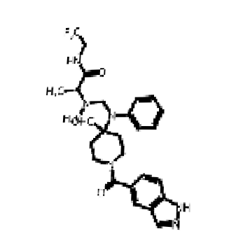 C[C@@H](C(=O)NCC(F)(F)F)N(C)CN(c1ccccc1)C1(C=O)CCN(C(=O)c2ccc3[nH]ncc3c2)CC1